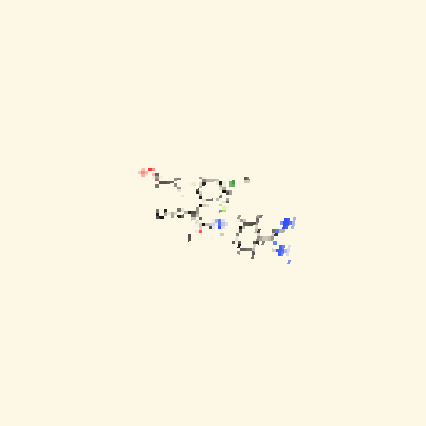 CO[C@H](C(=O)NCc1ccc(C(=N)N)cc1)c1c(F)cccc1CCCO.Cl